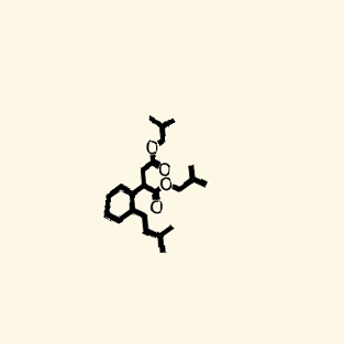 CC(C)CCC1CCCCC1C(CC(=O)OCC(C)C)C(=O)OCC(C)C